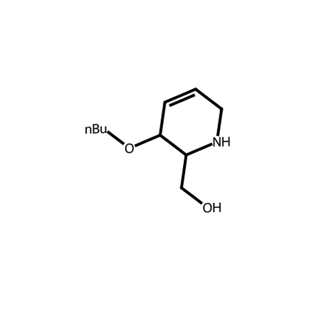 CCCCOC1C=CCNC1CO